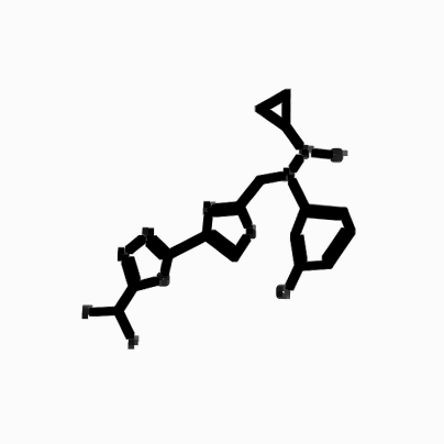 [O-][S+](C1CC1)N(Cc1nc(-c2nnc(C(F)F)o2)cs1)c1cccc(Cl)c1